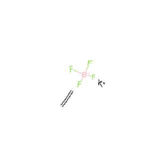 C=C.F[B-](F)(F)F.[K+]